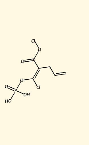 C=CCC(C(=O)OCl)=C(Cl)OP(=O)(O)O